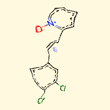 [O-][n+]1ccccc1/C=C/c1ccc(Cl)c(Cl)c1